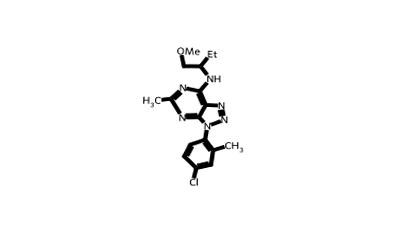 CCC(COC)Nc1nc(C)nc2c1nnn2-c1ccc(Cl)cc1C